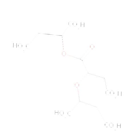 O=C(O)CC(OC(=O)C(CC(=O)O)OC(CC(=O)O)C(=O)O)C(=O)O